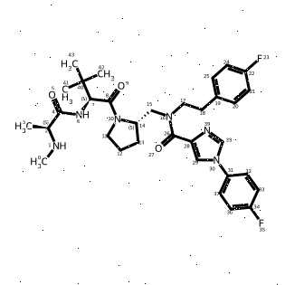 CN[C@@H](C)C(=O)N[C@H](C(=O)N1CCC[C@H]1CN(CCc1ccc(F)cc1)C(=O)c1cn(-c2ccc(F)cc2)cn1)C(C)(C)C